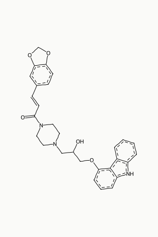 O=C(C=Cc1ccc2c(c1)OCO2)N1CCN(CC(O)COc2cccc3[nH]c4ccccc4c23)CC1